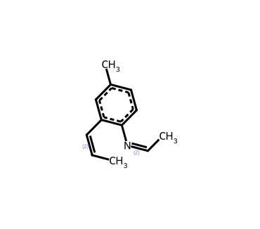 C/C=C\c1cc(C)ccc1/N=C\C